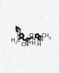 Cc1nc(N2CC3CC3C2)ccc1Cc1cc(C(=O)N[C@@H]2CCc3c(C)n[nH]c32)sc1C#N